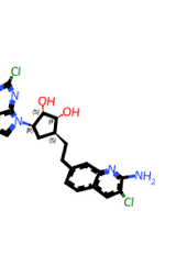 Nc1nc2cc(CC[C@H]3C[C@@H](n4ccc5cnc(Cl)nc54)[C@H](O)[C@@H]3O)ccc2cc1Cl